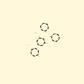 CC(C)(C)Oc1cccc(OC(C)(C)C)c1[S+](c1ccccc1)c1ccccc1.O=S(=O)([O-])c1ccc(C(F)(F)F)cc1